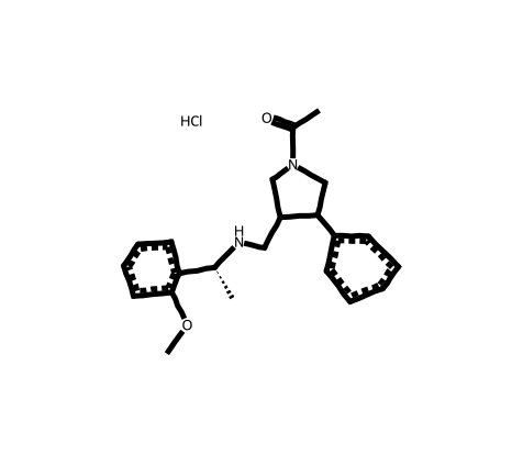 COc1ccccc1[C@@H](C)NCC1CN(C(C)=O)CC1c1ccccc1.Cl